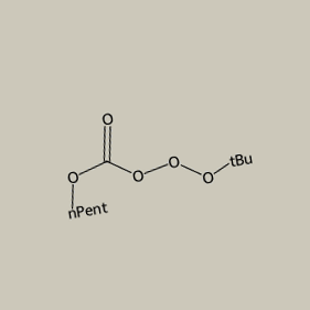 CCCCCOC(=O)OOOC(C)(C)C